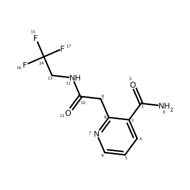 NC(=O)c1cccnc1[CH]C(=O)NCC(F)(F)F